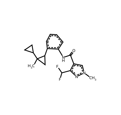 Cn1cc(C(=O)Nc2ccccc2C2CC2(C)C2CC2)c(C(F)F)n1